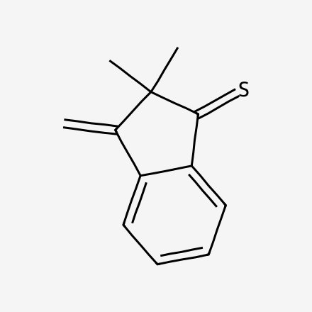 C=C1c2ccccc2C(=S)C1(C)C